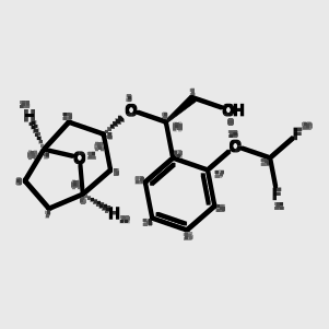 OC[C@H](O[C@@H]1C[C@H]2CC[C@@H](C1)O2)c1ccccc1OC(F)F